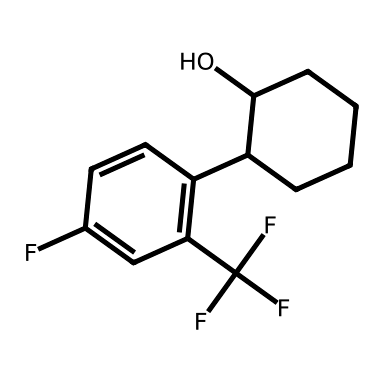 OC1CCCCC1c1ccc(F)cc1C(F)(F)F